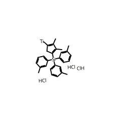 CC1=[C]([Ti])CC([Si](c2cccc(C)c2)(c2cccc(C)c2)c2cccc(C)c2)=C1C.Cl.Cl.Cl